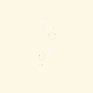 O=C1CCC(N2Cc3cc(C4CCN(Cc5cccc(S(=O)(=O)N6CCC7(CC7)C6)c5)CC4)ccc3C2=O)C(=O)N1